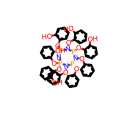 Oc1ccccc1ON1P(Oc2ccccc2O)N=P(Oc2ccccc2O)(Oc2ccccc2O)N(Oc2ccccc2)P(Oc2ccccc2)N(Oc2ccccc2)P1Oc1ccccc1O